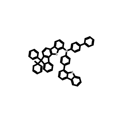 CC1(C2(c3ccccc3)c3ccccc3-c3c2ccc2c3sc3c(N(c4ccc(-c5ccccc5)cc4)c4ccc(-c5cccc6c5sc5ccccc56)cc4)cccc32)C=CC=CC1